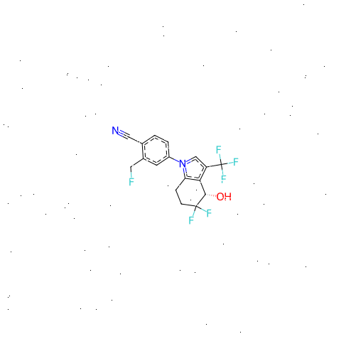 N#Cc1ccc(-n2cc(C(F)(F)F)c3c2CCC(F)(F)[C@H]3O)cc1CF